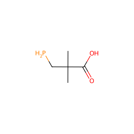 CC(C)(CP)C(=O)O